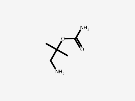 CC(C)(CN)OC(N)=O